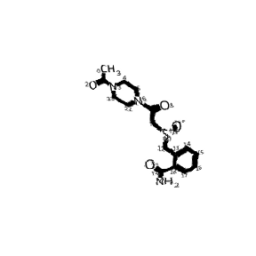 CC(=O)N1CCN(C(=O)C[S+]([O-])Cc2ccccc2C(N)=O)CC1